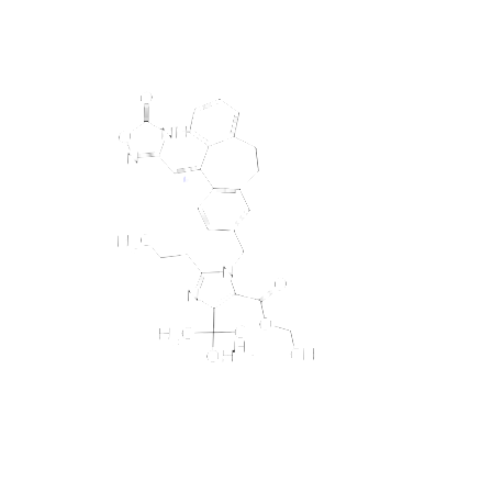 CCCc1nc(C(C)(C)O)c(C(=O)OCC)n1Cc1ccc2c(c1)CCc1ccccc1/C2=C\c1noc(=O)[nH]1